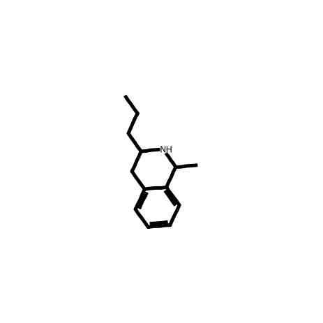 CCCC1Cc2ccccc2C(C)N1